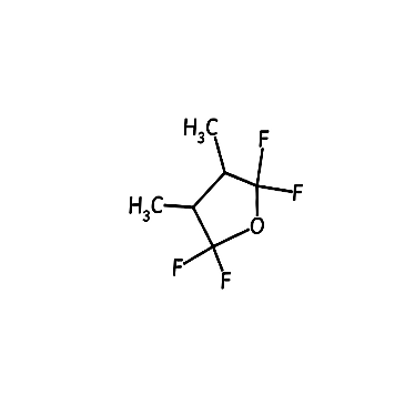 CC1C(C)C(F)(F)OC1(F)F